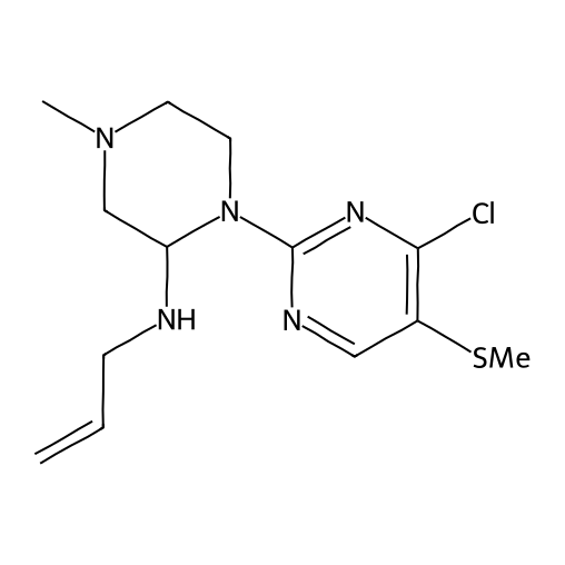 C=CCNC1CN(C)CCN1c1ncc(SC)c(Cl)n1